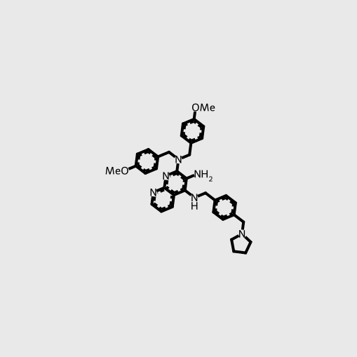 COc1ccc(CN(Cc2ccc(OC)cc2)c2nc3ncccc3c(NCc3ccc(CN4CCCC4)cc3)c2N)cc1